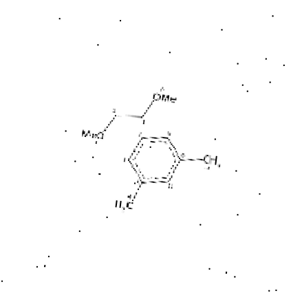 COCCOC.Cc1cccc(C)c1